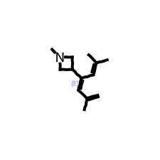 C=C(C)/C=C(\C=C(C)C)C1CN(C)C1